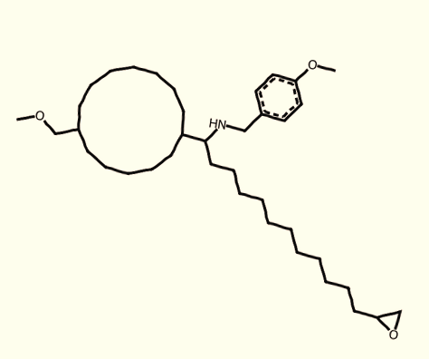 COCC1CCCCCCCC(C(CCCCCCCCCCCC2CO2)NCc2ccc(OC)cc2)CCCCC1